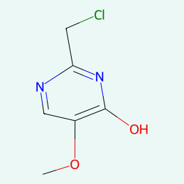 COc1cnc(CCl)nc1O